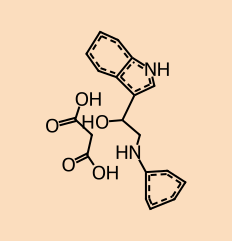 O=C(O)CC(=O)O.OC(CNc1ccccc1)c1c[nH]c2ccccc12